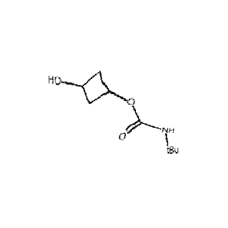 CC(C)(C)NC(=O)OC1CC(O)C1